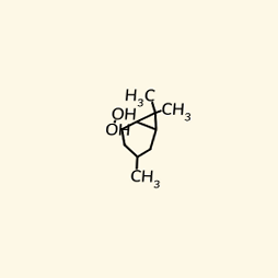 CC1CCC2C(C1)C2(C)C.OO